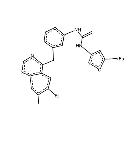 C=C(Nc1cccc(Cc2ncnc3cc(C)c(CC)cc23)c1)Nc1cc(C(C)(C)C)on1